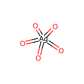 [O]=[Ag](=[O])(=[O])(=[O])=[O]